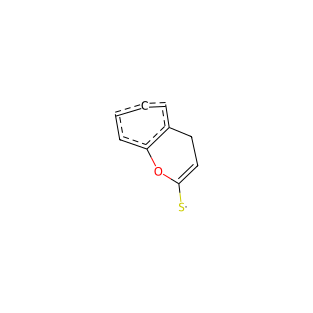 [S]C1=CCc2ccccc2O1